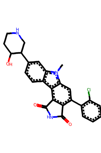 Cn1c2cc(C3CNCCC3O)ccc2c2c3c(c(-c4ccccc4Cl)cc21)C(=O)NC3=O